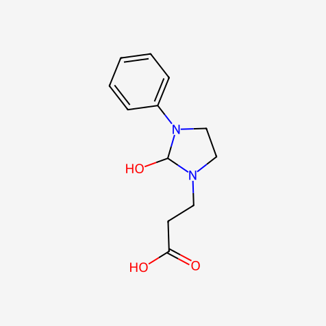 O=C(O)CCN1CCN(c2ccccc2)C1O